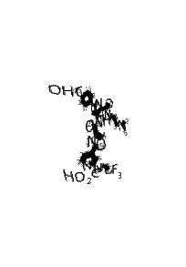 CN(C)CCNC(=O)c1nn(-c2ccc(C=O)cc2)cc1NC(=O)c1coc(-c2ccnc(N(CC(F)(F)F)C(=O)O)c2)n1